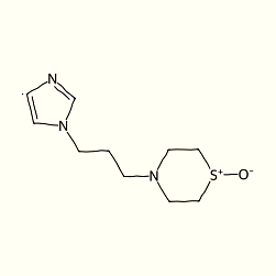 [O-][S+]1CCN(CCCn2c[c]nc2)CC1